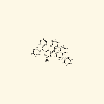 Brc1cc(N(c2ccccc2)c2ccccc2)cc(N(c2ccccc2)c2ccc(-c3ccccn3)c3ccccc23)c1